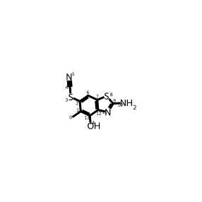 Cc1c(SC#N)cc2sc(N)nc2c1O